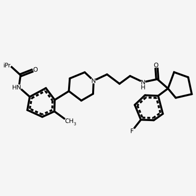 Cc1ccc(NC(=O)C(C)C)cc1C1CCN(CCCNC(=O)C2(c3ccc(F)cc3)CCCC2)CC1